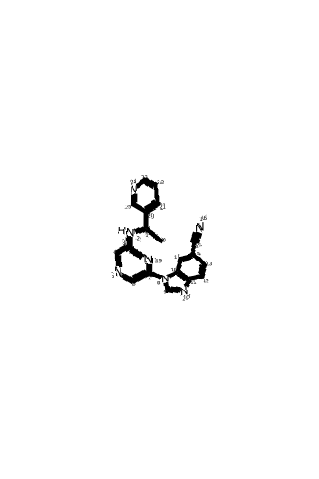 CC(Nc1cncc(-n2cnc3ccc(C#N)cc32)n1)c1cccnc1